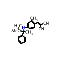 COC(C)(c1ccccc1)N(C)c1ccc(C=C(C#N)C#N)c(C)c1